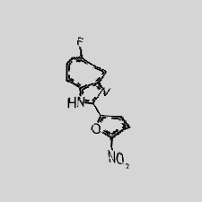 O=[N+]([O-])c1ccc(-c2nc3cc(F)ccc3[nH]2)o1